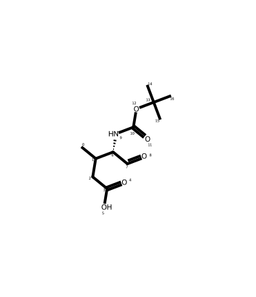 CC(CC(=O)O)[C@@H](C=O)NC(=O)OC(C)(C)C